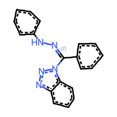 c1ccc(N/N=C(/c2ccccc2)n2nnc3ccccc32)cc1